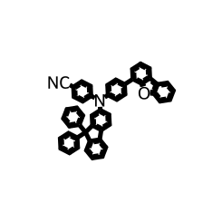 N#Cc1ccc(N(c2ccc(-c3cccc4c3oc3ccccc34)cc2)c2ccc3c(c2)C(c2ccccc2)(c2ccccc2)c2ccccc2-3)cc1